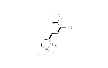 CCCCNC(=O)C(C#N)=CC=C1OCC(C)(C)N1C